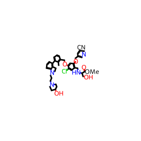 COC(=O)C(CO)NCc1cc(Cl)c(OCc2cccc(-c3cccc4c3CCN4CCCN3CCC(O)CC3)c2C)cc1OCc1cncc(C#N)c1